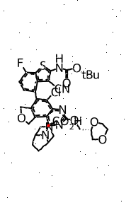 CC(C)(C)OC(=O)Nc1sc2c(F)ccc(-c3c4c(c5c(N6C7CCC6CN(C(=O)O)C7)nc(OC[C@H]6COCCO6)nc5c3Cl)COC4)c2c1C#N